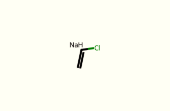 C=CCl.[NaH]